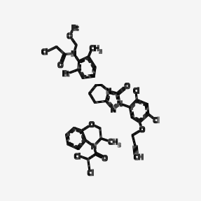 C#CCOc1cc(-n2nc3n(c2=O)CCCC3)c(Cl)cc1Cl.CC1COc2ccccc2N1C(=O)C(Cl)Cl.CCOCN(C(=O)CCl)c1c(C)cccc1CC